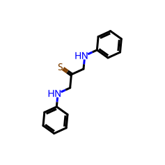 S=C(CNc1ccccc1)CNc1ccccc1